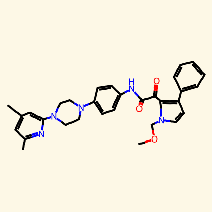 COCn1ccc(-c2ccccc2)c1C(=O)C(=O)Nc1ccc(N2CCN(c3cc(C)cc(C)n3)CC2)cc1